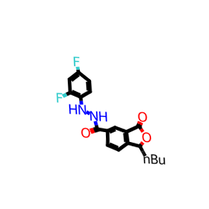 CCCCC1OC(=O)c2cc(C(=O)NNc3ccc(F)cc3F)ccc21